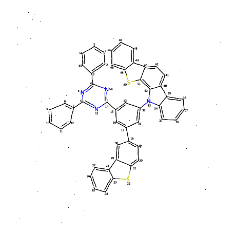 c1ccc(-c2nc(-c3ccccc3)nc(-c3cc(-c4ccc5sc6ccccc6c5c4)cc(-n4c5ccccc5c5ccc6c7ccccc7sc6c54)c3)n2)cc1